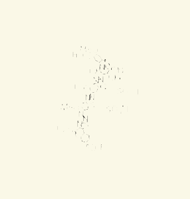 COc1cc(N=Nc2cc(OCCCS(=O)(=O)O)c(N=Nc3c(C)c(C#N)c4nc5cc(OC)c(S(=O)(=O)O)cc5n4c3O)cc2C)c(SCCCS(=O)(=O)O)cc1N=Nc1nc2c(S(=O)(=O)O)cc3cc(S(=O)(=O)O)ccc3c2s1